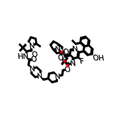 CCc1cccc2cc(O)cc(-c3ncc4c(N5CC6CCC(C5)N6C(=O)OC(C)(C)C)nc(OCCN5CCC(CN6CCN(CC(=O)NC(C(=O)N7CCCC7C)C(C)(C)C)CC6)CC5)nc4c3F)c12